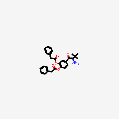 CC(C)(C)C(N)C(=O)c1ccc(OC(=O)Cc2ccccc2)c(OC(=O)Cc2ccccc2)c1